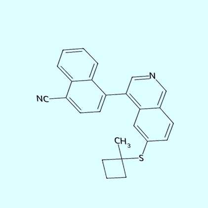 CC1(Sc2ccc3cncc(-c4ccc(C#N)c5ccccc45)c3c2)CCC1